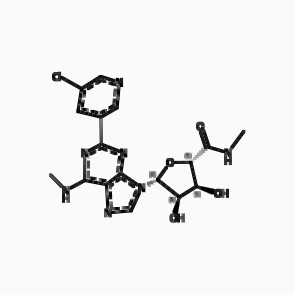 CNC(=O)[C@H]1O[C@@H](n2cnc3c(NC)nc(-c4cncc(Cl)c4)nc32)[C@H](O)[C@@H]1O